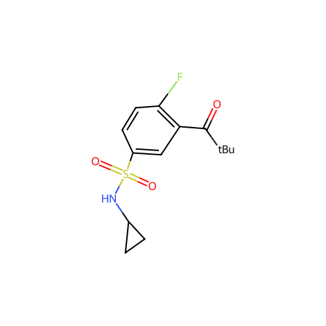 CC(C)(C)C(=O)c1cc(S(=O)(=O)NC2CC2)ccc1F